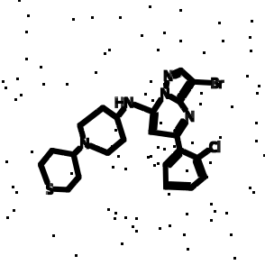 Clc1ccccc1-c1cc(NC2CCN(C3CCSCC3)CC2)n2ncc(Br)c2n1